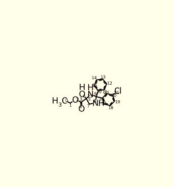 CCOC(=O)C1(O)CNC(c2ccccc2)(c2cccc(Cl)c2)N1